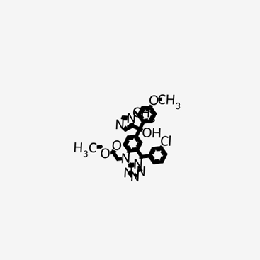 CCOC(=O)CN1c2ccc(C(O)(c3ccc(OC)cc3)c3cncn3C)cc2C(c2cccc(Cl)c2)n2nnnc21